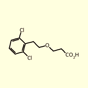 O=C(O)CCOCCc1c(Cl)cccc1Cl